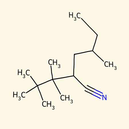 CCC(C)CC(C#N)C(C)(C)C(C)(C)C